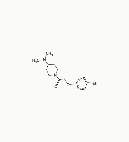 CCc1ccc(OCC(=O)N2CCC(N(C)C)CC2)cc1